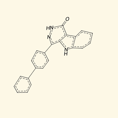 O=c1[nH]nc(-c2ccc(-c3ccccc3)cc2)c2[nH]c3ccccc3c12